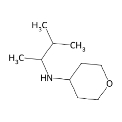 CC(C)C(C)NC1CCOCC1